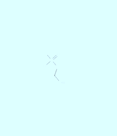 O=P([O-])([O-])OCO.[Ca+2]